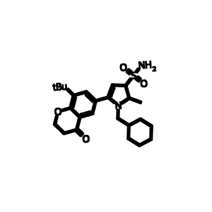 CC1C(S(N)(=O)=O)C=C(c2cc3c(c(C(C)(C)C)c2)OCCC3=O)N1CC1CCCCC1